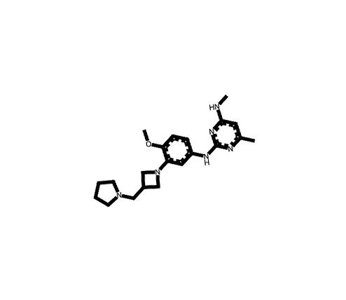 CNc1cc(C)nc(Nc2ccc(OC)c(N3CC(CN4CCCC4)C3)c2)n1